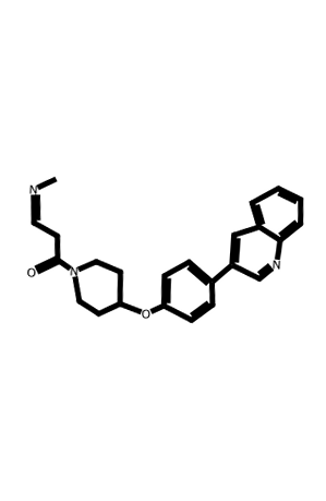 C/N=C\CC(=O)N1CCC(Oc2ccc(-c3cnc4ccccc4c3)cc2)CC1